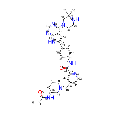 C=CC(=O)N[C@@H]1CCCN(Cc2ccnc(C(=O)Nc3ccc(-c4cc5c(N6CCNC7(CC7)C6)ncnc5[nH]4)cc3)c2)C1